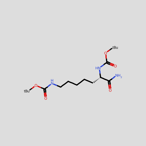 CC(C)(C)OC(=O)NCCCCC[C@H](NC(=O)OC(C)(C)C)C(N)=O